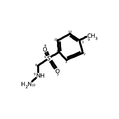 Cc1ccc(S(=O)(=O)CNN)cc1